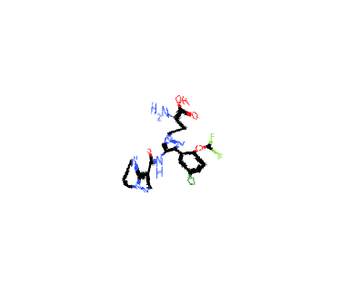 N[C@@H](CCn1cc(NC(=O)c2cnn3cccnc23)c(-c2cc(Cl)ccc2OC(F)F)n1)C(=O)O